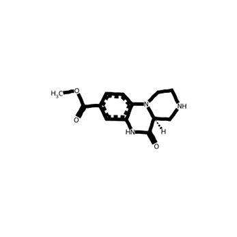 COC(=O)c1ccc2c(c1)NC(=O)[C@@H]1CNCCN21